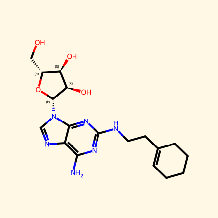 Nc1nc(NCCC2=CCCCC2)nc2c1ncn2[C@@H]1O[C@H](CO)[C@@H](O)[C@H]1O